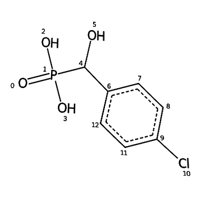 O=P(O)(O)C(O)c1ccc(Cl)cc1